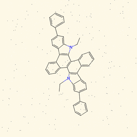 CCn1c2cc(-c3ccccc3)ccc2c2c3ccccc3c3c(c4ccccc4c4c5ccc(-c6ccccc6)cc5n(CC)c43)c21